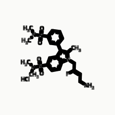 Cc1c(-c2cccc(S(=O)(=O)N(C)C)c2)c2cc(S(=O)(=O)N(C)C)ccc2n1CC(F)=CCN.Cl